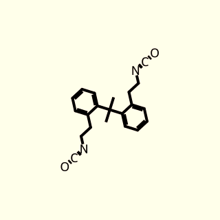 CC(C)(c1ccccc1CCN=C=O)c1ccccc1CCN=C=O